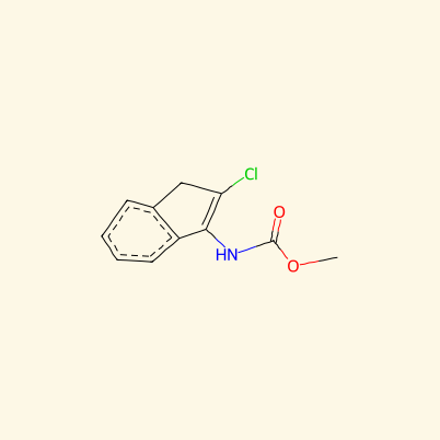 COC(=O)NC1=C(Cl)Cc2ccccc21